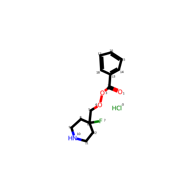 Cl.O=C(OOCC1(F)CCNCC1)c1ccccc1